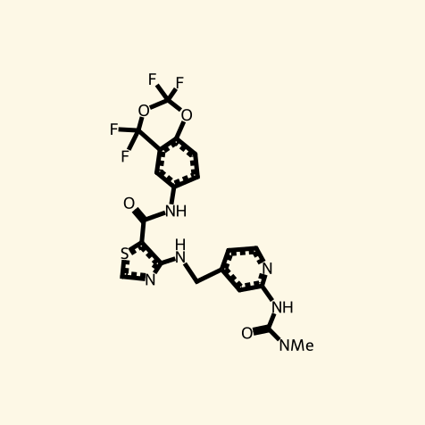 CNC(=O)Nc1cc(CNc2ncsc2C(=O)Nc2ccc3c(c2)C(F)(F)OC(F)(F)O3)ccn1